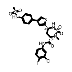 CN1[C@H](C(=O)Nc2ccc(F)c(Cl)c2)C[C@H](c2cc(-c3ccc(NS(C)(=O)=O)cc3)cs2)NS1(=O)=O